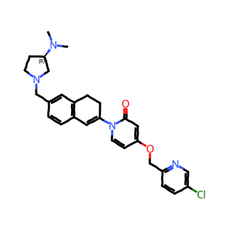 CN(C)[C@@H]1CCN(Cc2ccc3c(c2)CCC(n2ccc(OCc4ccc(Cl)cn4)cc2=O)=C3)C1